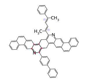 C/C(=C\C=C(/C)c1nc2cc3c(ccc4ccccc43)cc2c2c1C1c3ccccc3C2c2c(-c3ccc(-c4ccccc4)cc3)nc3cc4c(ccc5ccccc54)cc3c21)c1ccccc1